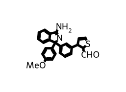 COc1ccc(C2(c3cccc(C4C=CSC4C=O)c3)N=C(N)c3ccccc32)cc1